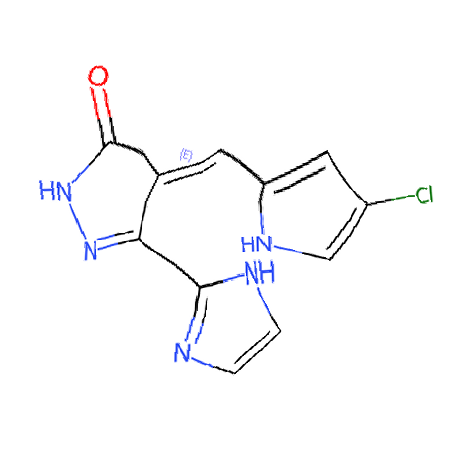 O=C1NN=C(c2ncc[nH]2)/C1=C\c1cc(Cl)c[nH]1